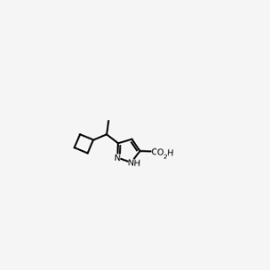 CC(c1cc(C(=O)O)[nH]n1)C1CCC1